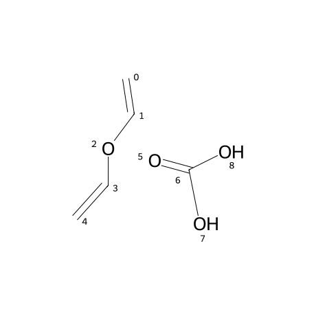 C=COC=C.O=C(O)O